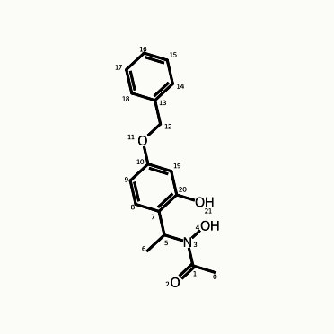 CC(=O)N(O)C(C)c1ccc(OCc2ccccc2)cc1O